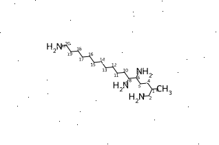 CC(CN)CCC(N)C(N)CCCCCCCCCCCN